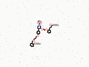 CNC(=O)CCc1ccccc1OCCOC1CN(C(=O)OC(C)(C)C)CCC1c1ccc(OCCCOCc2ccccc2OC)cc1